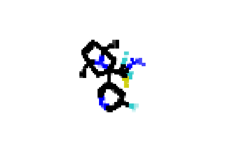 NC(=S)C1(c2cncc(F)c2)C[C@H]2C=C[C@H](C1)N2CC(F)F